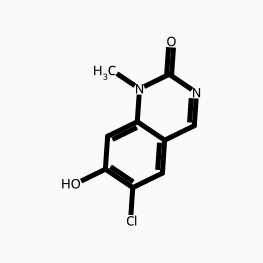 Cn1c(=O)ncc2cc(Cl)c(O)cc21